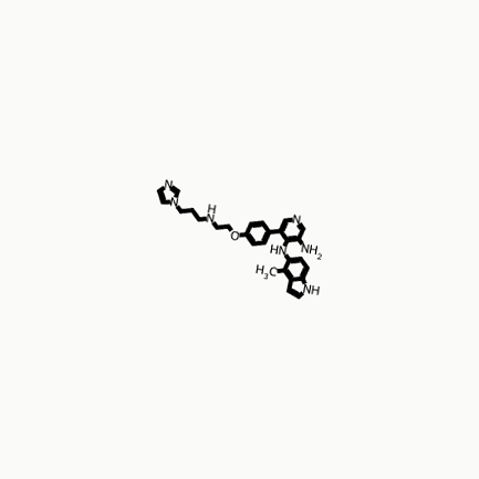 Cc1c(Nc2c(N)cncc2-c2ccc(OCCNCCCn3ccnc3)cc2)ccc2[nH]ccc12